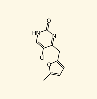 Cc1ccc(Cc2nc(=O)[nH]cc2Cl)o1